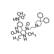 CC(=O)Nc1ccc(C2C(NC=O)=C(C)NC(C)=C2N(C=O)CCCN2CCC(c3ccccc3)(c3ccccc3)CC2)cc1